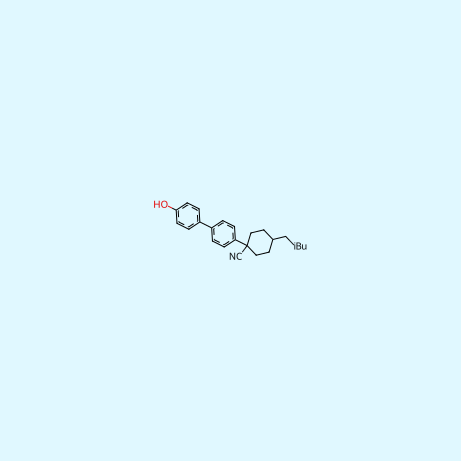 CCC(C)CC1CCC(C#N)(c2ccc(-c3ccc(O)cc3)cc2)CC1